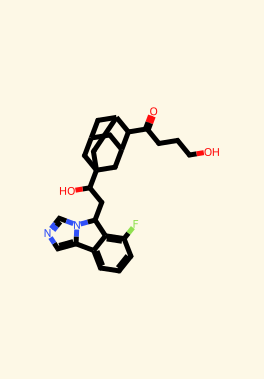 O=C(CCCO)C1C2CC3CC1CC(C(O)CC1c4c(F)cccc4-c4cncn41)(C3)C2